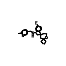 CCC1(CC)CC(CCNCc2ccc(C)nc2)(c2ccc(F)cc2)CCO1